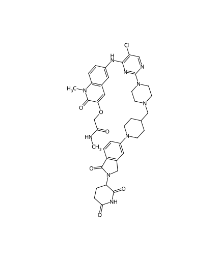 CNC(=O)COc1cc2cc(Nc3nc(N4CCN(CC5CCN(c6ccc7c(c6)CN(C6CCC(=O)NC6=O)C7=O)CC5)CC4)ncc3Cl)ccc2n(C)c1=O